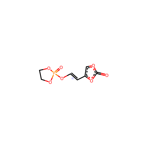 O=c1occ(/C=C/OP2(=O)OCCO2)o1